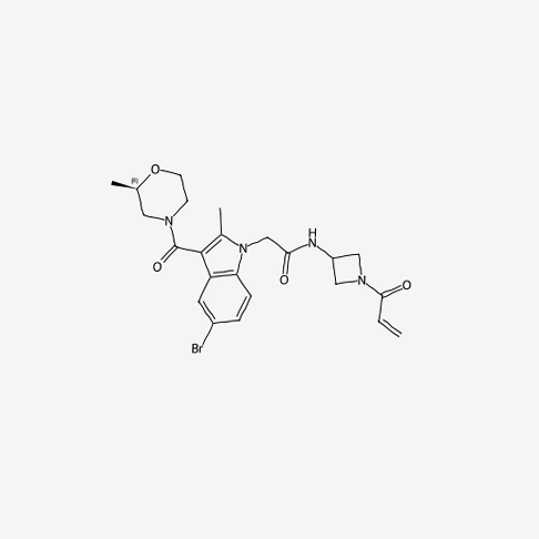 C=CC(=O)N1CC(NC(=O)Cn2c(C)c(C(=O)N3CCO[C@H](C)C3)c3cc(Br)ccc32)C1